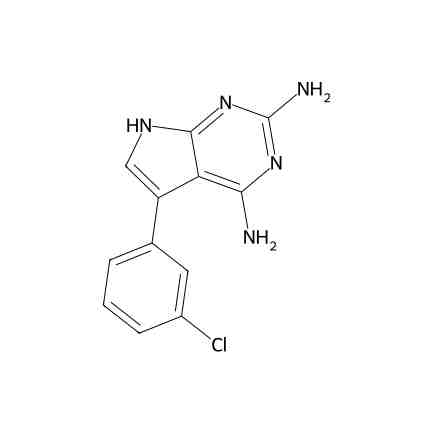 Nc1nc(N)c2c(-c3cccc(Cl)c3)c[nH]c2n1